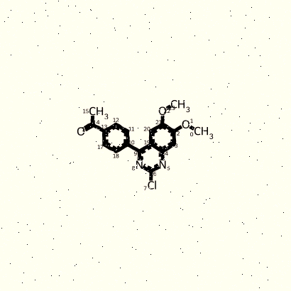 COc1cc2nc(Cl)nc(-c3ccc(C(C)=O)cc3)c2cc1OC